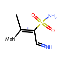 CN/C(C)=C(\C=N)S(N)(=O)=O